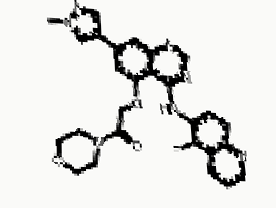 Cn1cc(-c2cc(OCC(=O)N3CCOCC3)c3c(Nc4ccc5ncccc5c4F)ncnc3c2)cn1